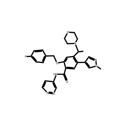 CC(c1cc(OCc2ccc(F)cc2)c(C(=O)Nc2ccnnc2)cc1-c1cnn(C)c1)N1CCOCC1